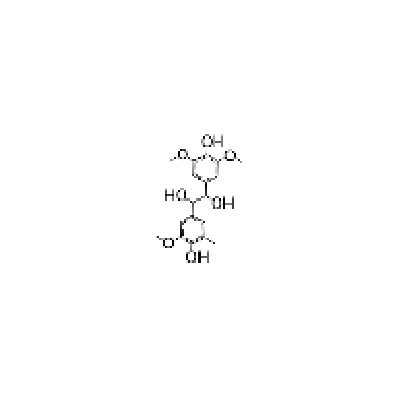 COc1cc(C(O)C(O)c2cc(OC)c(O)c(OC)c2)cc(C)c1O